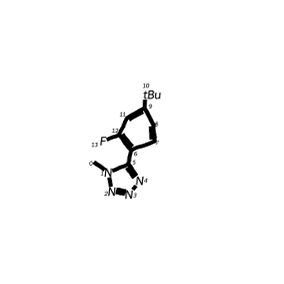 Cn1nnnc1-c1ccc(C(C)(C)C)cc1F